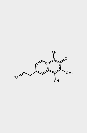 C=CCc1ccc2c(c1)c(O)c(OC)c(=O)n2C